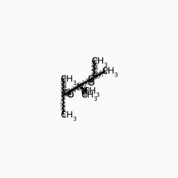 CCCCCCCCCCC(CCCCCCCC)COC(=O)CCCCCN(CCCCCC(=O)OCC(CCCCCC)CCCCCCCC)CCN(C)CC